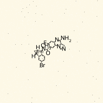 CN(C(=O)c1cc2c(cc1F)nc(N)c1cncn12)[C@H]1c2ccc(Br)cc2[C@@H]2C[C@@H]21